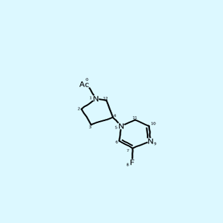 CC(=O)N1CCC(N2C=C(F)N=CC2)C1